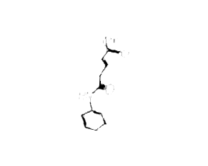 CC(C)C(=O)/C=C/CC(=O)NC1=CCCC=C1